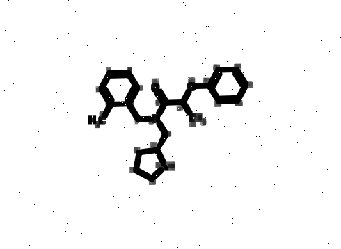 Cc1ccccc1CN(C[C@@H]1CCCN1)C(=O)C(C)Oc1ccccc1